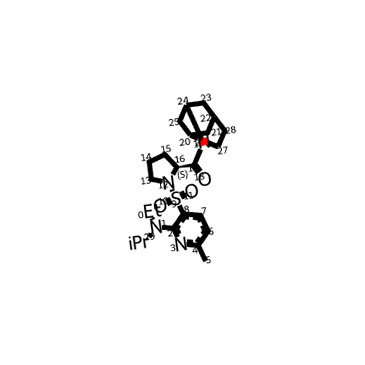 CCN(c1nc(C)ccc1S(=O)(=O)N1CCC[C@H]1C(=O)N1C2CC3CC(C2)CC1C3)C(C)C